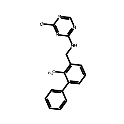 Cc1c(CNc2ncnc(Cl)n2)cccc1-c1ccccc1